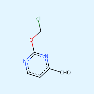 O=Cc1ccnc(OCCl)n1